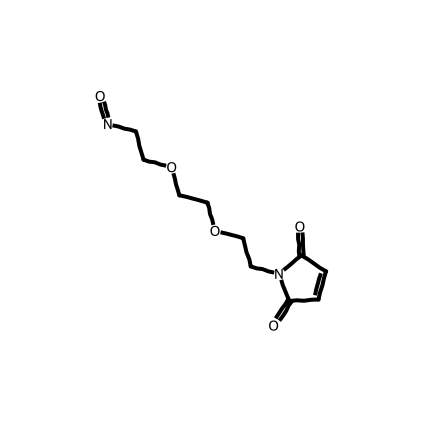 O=NCCOCCOCCN1C(=O)C=CC1=O